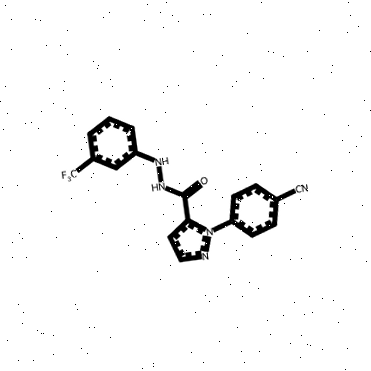 N#Cc1ccc(-n2nccc2C(=O)NNc2cccc(C(F)(F)F)c2)cc1